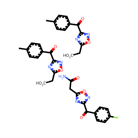 Cc1ccc(C(=O)c2noc(CC(=O)O)n2)cc1.Cc1ccc(C(=O)c2noc(CC(=O)O)n2)cc1.NC(=O)Cc1nc(C(=O)c2ccc(F)cc2)no1